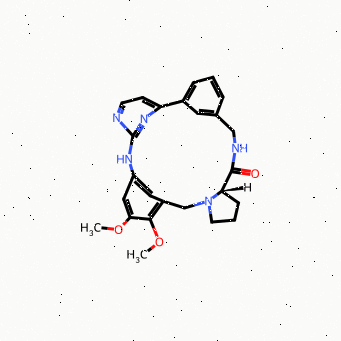 COc1cc2cc(c1OC)CN1CCC[C@H]1C(=O)NCc1cccc(c1)-c1ccnc(n1)N2